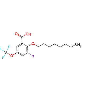 CCCCCCCCOc1c(I)cc(OC(F)(F)F)cc1C(=O)O